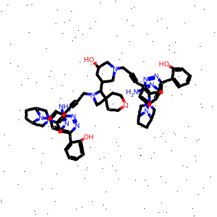 Nc1nnc(-c2ccccc2O)cc1N1CC2CCC(C1)N2c1ccnc(C#CCN2CC(O)CC(C3N(CC#Cc4cc(N5C6CCC5CN(c5cc(-c7ccccc7O)nnc5N)C6)ccn4)CC34CCOCC4)C2)c1